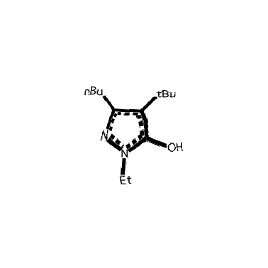 CCCCc1nn(CC)c(O)c1C(C)(C)C